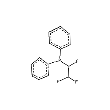 FC(F)C(F)P(c1ccccc1)c1ccccc1